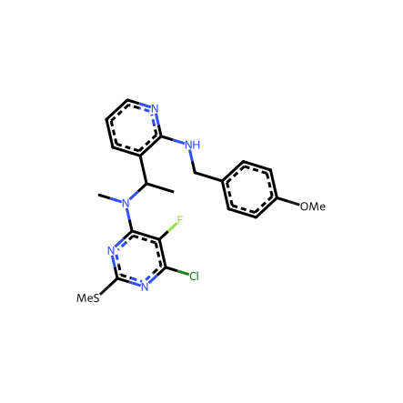 COc1ccc(CNc2ncccc2C(C)N(C)c2nc(SC)nc(Cl)c2F)cc1